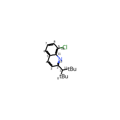 CC(C)(C)C(c1ccc2cccc(Cl)c2n1)C(C)(C)C